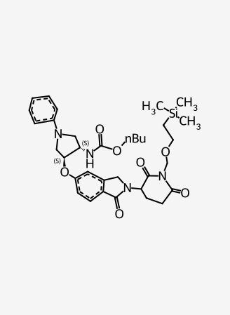 CCCCOC(=O)N[C@H]1CN(c2ccccc2)C[C@@H]1Oc1ccc2c(c1)CN(C1CCC(=O)N(COCC[Si](C)(C)C)C1=O)C2=O